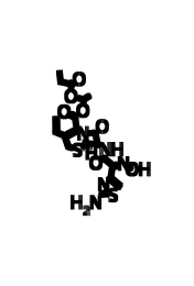 C=CC1=C(C(=O)OC(C)OC(=O)CC)N2C(=O)C(NC(=O)C(=NO)c3csc(N)n3)[C@@H]2SC1